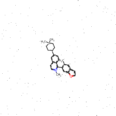 Cc1cc2ccoc2cc1-c1c2ccc(C3CC[Si](C)(C)CC3)cc2cc[n+]1C